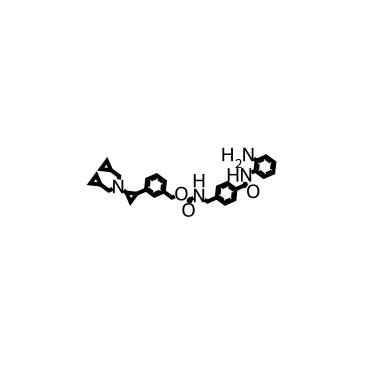 Nc1ccccc1NC(=O)c1ccc(CNC(=O)OCc2cccc(C3CC3N(CC3CC3)CC3CC3)c2)cc1